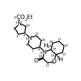 CCOC(=O)N1CC[C@H](N2CCC(N3C(=O)CO[C@H]4CCCC[C@@H]43)CC2)C1